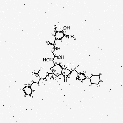 Cc1cc(C(=O)NC[C@@H](O)[C@@H](O)C2C=C(NC(=O)Cn3cc(C4CCCCC4)nn3)C(O)C[C@](OCN(CCc3ccccc3)C(=O)I)(C(=O)O)O2)cc(C)c1O